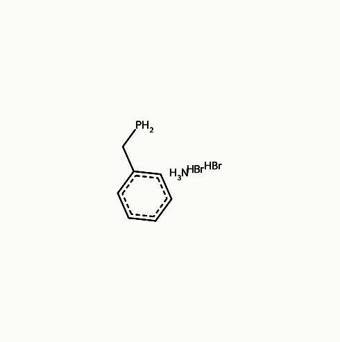 Br.Br.N.PCc1ccccc1